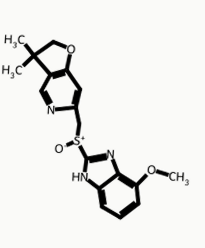 COc1cccc2[nH]c([S+]([O-])Cc3cc4c(cn3)C(C)(C)CO4)nc12